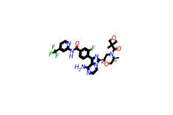 C[C@H]1CO[C@@H](c2nc(-c3ccc(C(=O)Nc4cc(C(F)(F)F)ccn4)cc3F)c3c(N)nccn23)CN1C(=O)C1(C)COC1